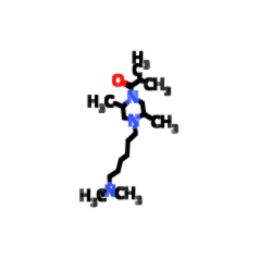 CC(C)C(=O)N1CC(C)N(CCCCCCN(C)C)CC1C